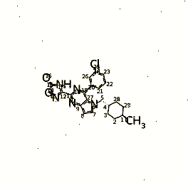 C[C@H]1CC[C@H](Cn2ccc3nc(-c4noc(=O)[nH]4)nc(-c4cccc(Cl)c4)c32)CC1